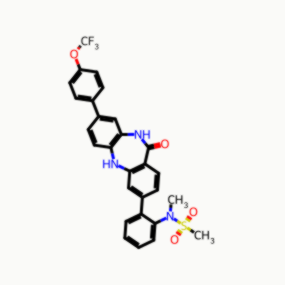 CN(c1ccccc1-c1ccc2c(c1)Nc1ccc(-c3ccc(OC(F)(F)F)cc3)cc1NC2=O)S(C)(=O)=O